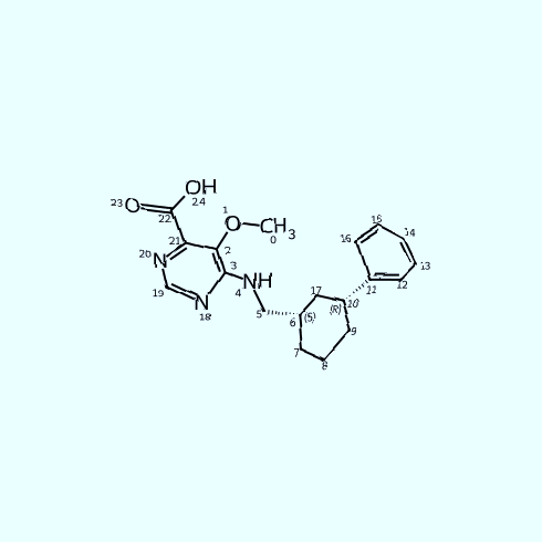 COc1c(NC[C@H]2CCC[C@@H](c3ccccc3)C2)ncnc1C(=O)O